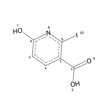 O=C(O)c1ccc(O)nc1I